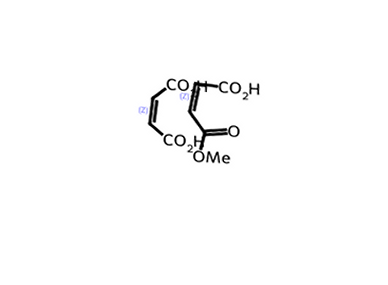 COC(=O)/C=C\C(=O)O.O=C(O)/C=C\C(=O)O